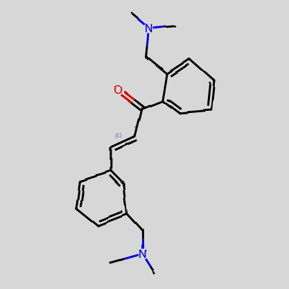 CN(C)Cc1cccc(/C=C/C(=O)c2ccccc2CN(C)C)c1